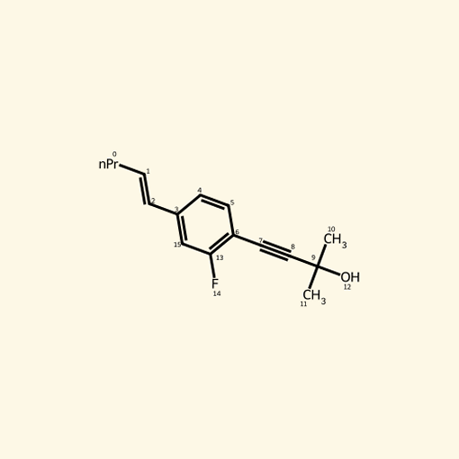 CCCC=Cc1ccc(C#CC(C)(C)O)c(F)c1